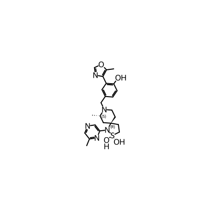 Cc1cncc(N2[C@@]3(CCN(Cc4ccc(O)c(-c5ncoc5C)c4)[C@@H](C)C3)CCS2(O)O)n1